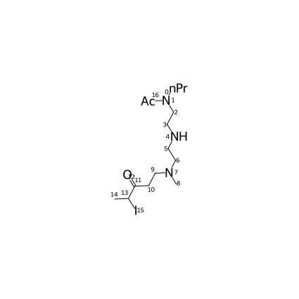 CCCN(CCNCCN(C)CCC(=O)C(C)I)C(C)=O